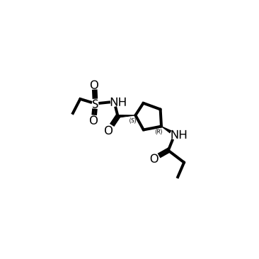 CCC(=O)N[C@@H]1CC[C@H](C(=O)NS(=O)(=O)CC)C1